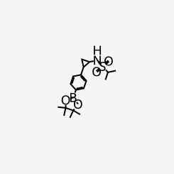 CC(C)S(=O)(=O)NC1CC1c1ccc(B2OC(C)(C)C(C)(C)O2)cc1